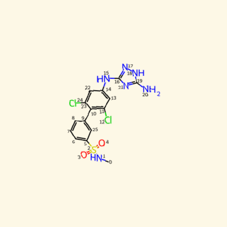 CNS(=O)(=O)c1cccc(-c2c(Cl)cc(Nc3n[nH]c(N)n3)cc2Cl)c1